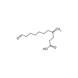 C=C(CCCCCCC=O)CCC(=O)O